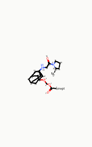 CCCCCCCC(=O)OCOC12CC3CC(CC(NCC(=O)N4CCC[C@H]4C#N)(C3)C1)C2